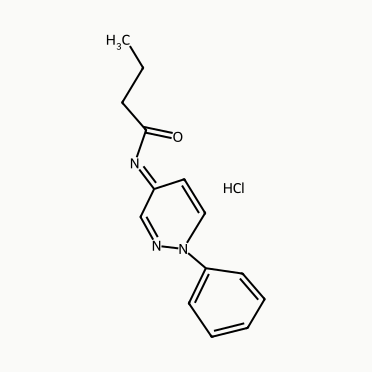 CCCC(=O)/N=c1\ccn(-c2ccccc2)nc1.Cl